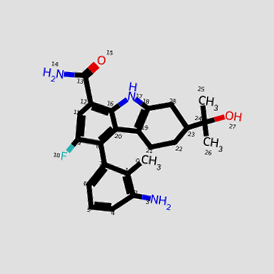 Cc1c(N)cccc1-c1c(F)cc(C(N)=O)c2[nH]c3c(c12)CCC(C(C)(C)O)C3